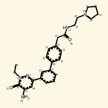 CCn1nc(-c2cccc(-c3ccc(CC(=O)NCCN4CCCC4)cc3)c2)cc(N)c1=O